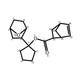 O=C(OC1(C2CC3CCC2O3)CCCC1)C1CC2C=CC1C2